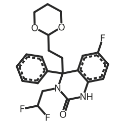 O=C1Nc2ccc(F)cc2C(CCC2OCCCO2)(c2ccccc2)N1CC(F)F